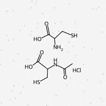 CC(=O)NC(CS)C(=O)O.Cl.NC(CS)C(=O)O